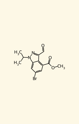 COC(=O)c1cc(Br)cc2c1c(C=O)nn2C(C)C